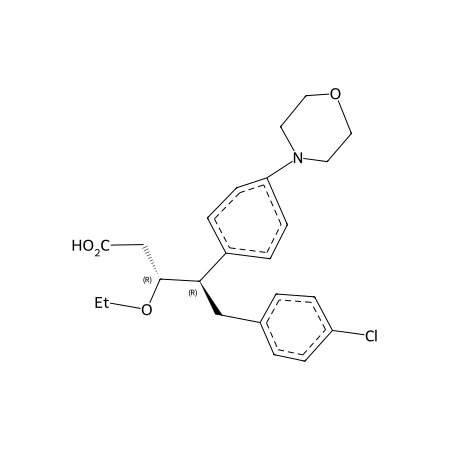 CCO[C@H](CC(=O)O)[C@H](Cc1ccc(Cl)cc1)c1ccc(N2CCOCC2)cc1